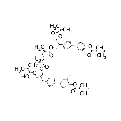 C=C(C)C(=O)OCC(COC(=O)C(=C)C/C=C(\C)C(=O)OCC(COC(O)C(=C)C)Cc1ccc(-c2ccc(OC(=O)C(=C)C)c(F)c2)cc1)c1ccc(-c2ccc(OC(=O)C(=C)C)cc2)cc1